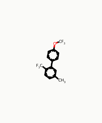 Cc1ccc(C(F)(F)F)c(-c2ccc(OC(F)(F)F)cc2)c1